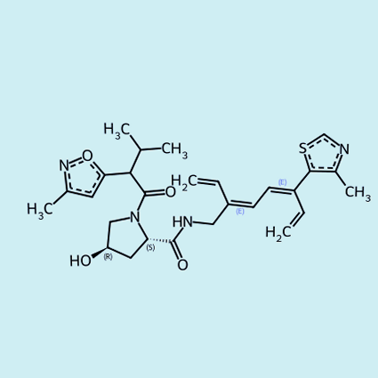 C=C/C(=C\C=C(/C=C)c1scnc1C)CNC(=O)[C@@H]1C[C@@H](O)CN1C(=O)C(c1cc(C)no1)C(C)C